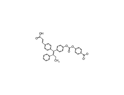 CC/C(=C(/c1ccc(/C=C/C(=O)O)cc1)c1ccc(OC(=O)Oc2ccc([N+](=O)[O-])cc2)cc1)c1ccccc1